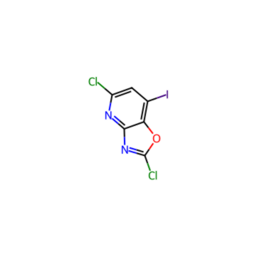 Clc1cc(I)c2oc(Cl)nc2n1